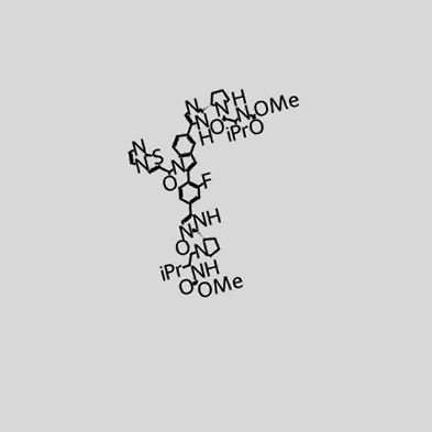 COC(=O)NC(C(=O)N1CCC[C@H]1c1ncc(-c2cc(F)c3c(c2)OC(c2cn4ccnc4s2)n2c-3cc3cc(-c4cnc([C@@H]5CCCN5C(=O)C(NC(=O)OC)C(C)C)[nH]4)ccc32)[nH]1)C(C)C